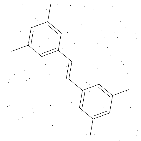 Cc1cc(C)cc(/C=C/c2cc(C)cc(C)c2)c1